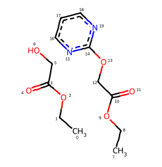 CCOC(=O)CO.CCOC(=O)COc1ncccn1